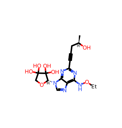 CCONc1nc(C#CC[C@@H](C)O)nc2c1ncn2[C@@H]1OCC(O)(O)C1(O)O